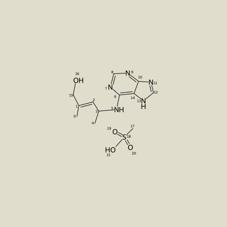 C/C(=C\C(C)Nc1ncnc2nc[nH]c12)CO.CS(=O)(=O)O